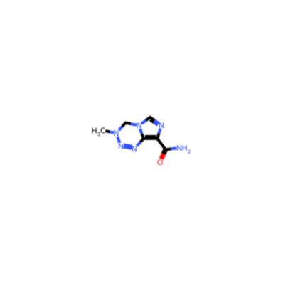 CN1Cn2cnc(C(N)=O)c2N=N1